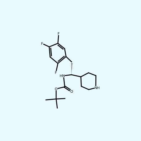 CC(C)(C)OC(=O)N[C@H](Cc1cc(F)c(F)cc1F)C1CCNCC1